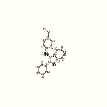 ICc1ccc(Nc2c(-c3ccccc3)nc3cnccn23)cc1